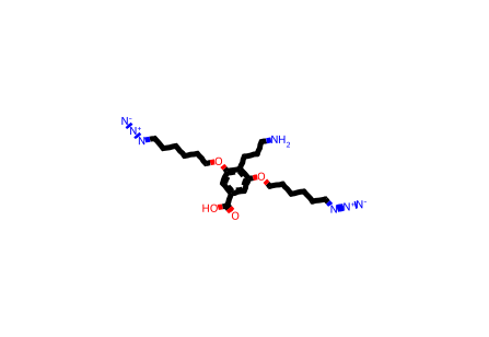 [N-]=[N+]=NCCCCCCOc1cc(C(=O)O)cc(OCCCCCCN=[N+]=[N-])c1CCCN